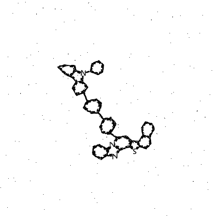 c1ccc(-n2c3ccccc3c3ccc(-c4ccc(-c5ccc(-c6cc7c(sc8ccc9ccccc9c87)c7nc8ccccc8n67)cc5)cc4)cc32)cc1